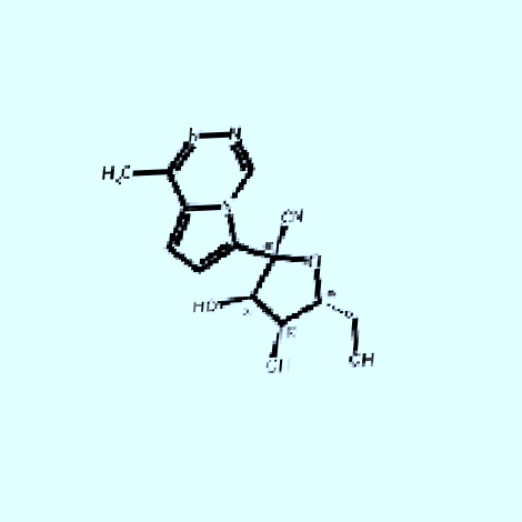 Cc1nncn2c([C@]3(C#N)O[C@H](CO)[C@@H](O)[C@H]3O)ccc12